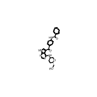 O=C(Nc1ccc(C(=O)c2c[nH]c3ncnc(N[C@@H]4CC[C@@H](CO)OC4)c23)cc1)c1ccccc1